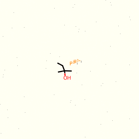 CCC(C)(C)O.[P+3].[P+3]